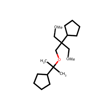 COCC(COC)(COC(C)(C)C1CCCC1)C1CCCC1